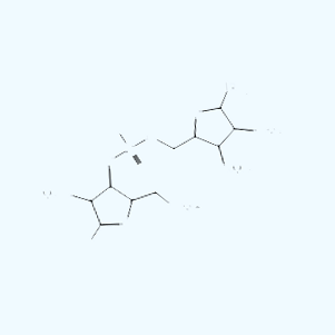 BC1OC(COP(=O)(O)OC2C(COC)OC(B)C2OC)C(OC)C1OC